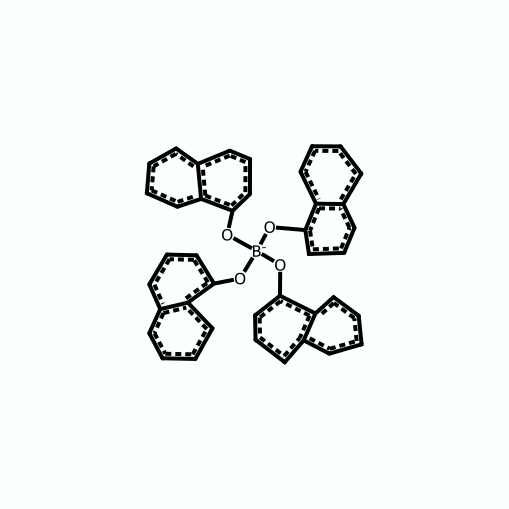 c1ccc2c(O[B-](Oc3cccc4ccccc34)(Oc3cccc4ccccc34)Oc3cccc4ccccc34)cccc2c1